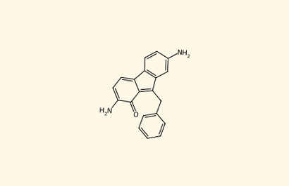 NC1=CC=C2C(=C(Cc3ccccc3)c3cc(N)ccc32)C1=O